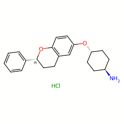 Cl.N[C@H]1CC[C@H](Oc2ccc3c(c2)CC[C@H](c2ccccc2)O3)CC1